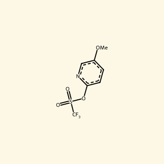 COc1ccc(OS(=O)(=O)C(F)(F)F)nc1